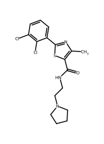 Cc1nc(-c2cccc(Cl)c2Cl)sc1C(=O)NCCN1CCCC1